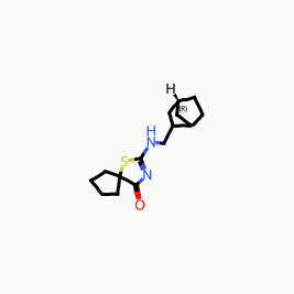 O=C1N=C(NCC2C[C@@H]3CCC2C3)SC12CCCC2